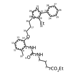 CCOC(=O)CCCNC(=O)Nc1c(C)cccc1OCCCn1cnc(-c2ccccc2)c1CC